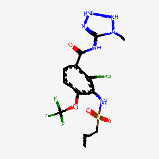 CCCS(=O)(=O)Nc1c(OC(F)(F)F)ccc(C(=O)NC2=NNNN2C)c1Cl